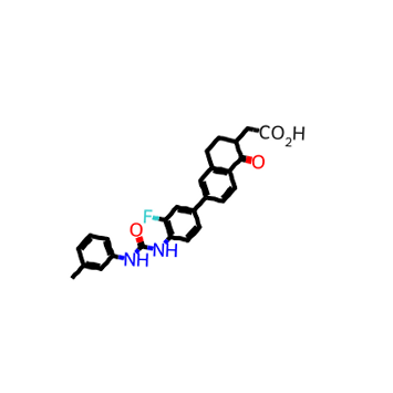 Cc1cccc(NC(=O)Nc2ccc(-c3ccc4c(c3)CCC(CC(=O)O)C4=O)cc2F)c1